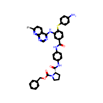 CC(C)c1ccc2c(Nc3cc(C(=O)Nc4ccc(NC(=O)[C@@H]5CCCN5C(=O)OCc5ccccc5)cc4)ccc3Sc3ccc(N)cc3)ncnc2n1